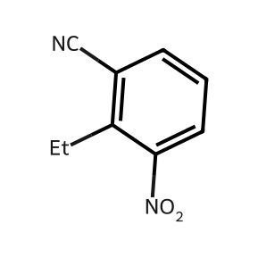 [CH2]Cc1c(C#N)cccc1[N+](=O)[O-]